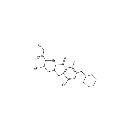 CCCC(CC1CC(=O)c2c(C)c(CC3CCCCC3)cc(C(C)C)c2C1)C(CC)C(=O)CC(C)=O